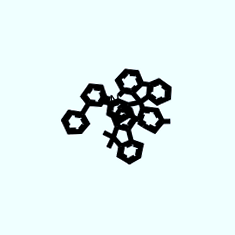 Cc1ccc2c(c1)C1(c3cc(C)ccc3-2)c2ccccc2-c2cccc(N(c3cccc(-c4ccccc4)c3)c3ccc4c(c3)C(C)(C)c3ccccc3-4)c21